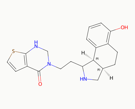 O=C1c2ccsc2NCN1CCC1NC[C@@H]2CCc3c(O)cccc3[C@H]12